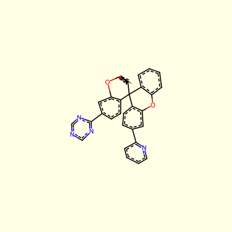 c1ccc(-c2ccc3c(c2)Oc2ccccc2C32c3ccccc3Oc3cc(-c4ncncn4)ccc32)nc1